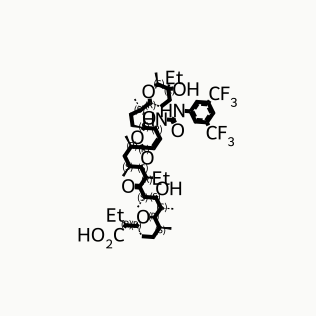 CC[C@@H](C(=O)[C@@H](C)[C@@H](O)[C@H](C)[C@@H]1O[C@@H]([C@@H](CC)C(=O)O)CC[C@@H]1C)[C@H]1O[C@]2(C=C[C@@H](NC(=O)Nc3cc(C(F)(F)F)cc(C(F)(F)F)c3)[C@]3(CC[C@@](C)([C@H]4CC[C@](O)(CC)[C@H](C)O4)O3)O2)[C@H](C)C[C@@H]1C